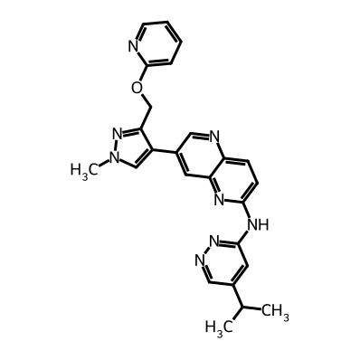 CC(C)c1cnnc(Nc2ccc3ncc(-c4cn(C)nc4COc4ccccn4)cc3n2)c1